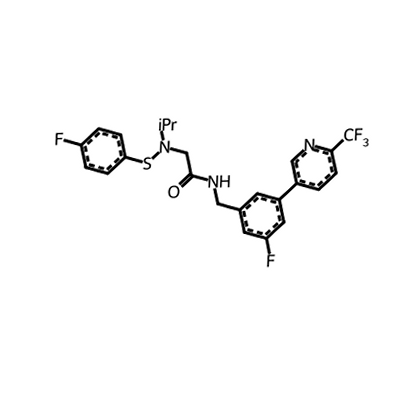 CC(C)N(CC(=O)NCc1cc(F)cc(-c2ccc(C(F)(F)F)nc2)c1)Sc1ccc(F)cc1